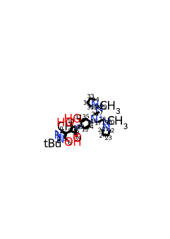 Cc1nn(C(C)(C)C)c(O)c1C1=C(O)/C(=C2/C=CC(=[N+](CCN(C)N3CCCC3)CCN(C)N3CCCC3)C=C2O)C1=O